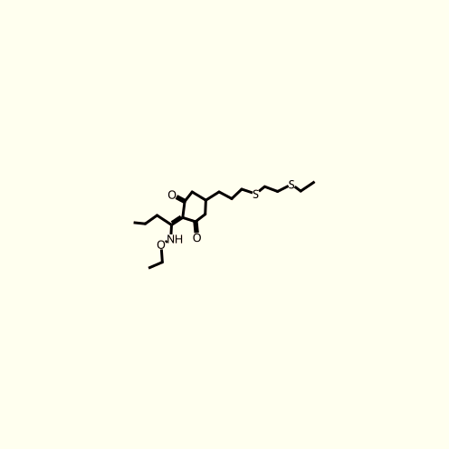 CCCC(NOCC)=C1C(=O)CC(CCCSCCSCC)CC1=O